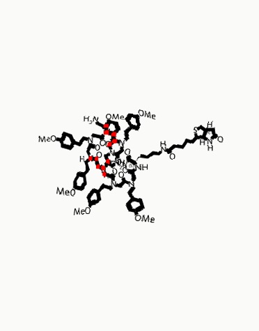 COc1ccc(CCN(CC(=O)N[C@@H](CCCCNC(=O)CCCCC2SC[C@@H]3CC(=O)N[C@H]23)C(N)=O)C(=O)CN(CCc2ccc(OC)cc2)C(=O)CN(CCN)C(=O)CN(CCc2ccc(OC)cc2)C(=O)CN(CCc2ccc(OC)cc2)C(=O)CN(CCN)C(=O)CN(CCc2ccc(OC)cc2)C(=O)CN(CCc2ccc(OC)cc2)C(=O)CN(CCN)C(C)=O)cc1